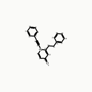 O=c1ccn(C#Cc2ccccc2)c(CCc2ccccc2)c1